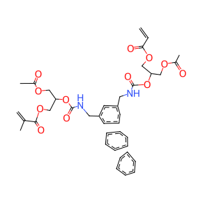 C=CC(=O)OCC(COC(C)=O)OC(=O)NCc1cccc(CNC(=O)OC(COC(C)=O)COC(=O)C(=C)C)c1.c1ccccc1.c1ccccc1